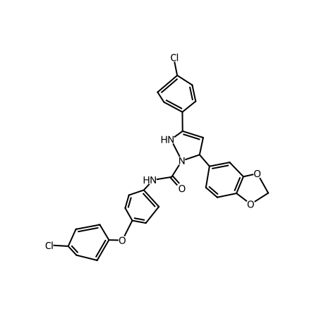 O=C(Nc1ccc(Oc2ccc(Cl)cc2)cc1)N1NC(c2ccc(Cl)cc2)=CC1c1ccc2c(c1)OCO2